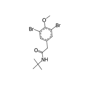 COc1c(Br)cc(CC(=O)NC(C)(C)C)cc1Br